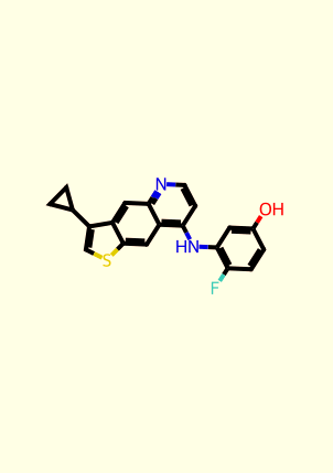 Oc1ccc(F)c(Nc2ccnc3cc4c(C5CC5)csc4cc23)c1